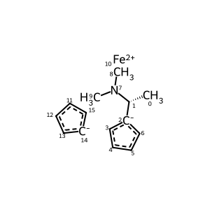 C[C@H]([c-]1cccc1)N(C)C.[Fe+2].c1cc[cH-]c1